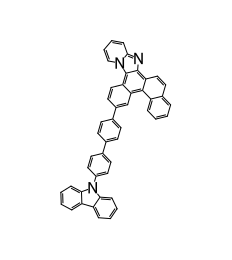 c1ccc2c(c1)ccc1c3nc4ccccn4c3c3ccc(-c4ccc(-c5ccc(-n6c7ccccc7c7ccccc76)cc5)cc4)cc3c21